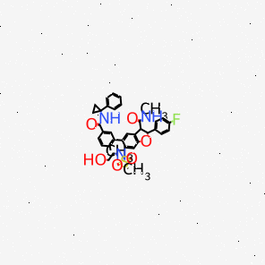 CNC(=O)C1c2cc(-c3cc(C(=O)NC4(c5ccccc5)CC4)ccc3C)c(N(CCO)S(C)(=O)=O)cc2OC1c1ccc(F)cc1